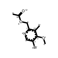 COc1c(Br)cnc(COC(C)=O)c1C